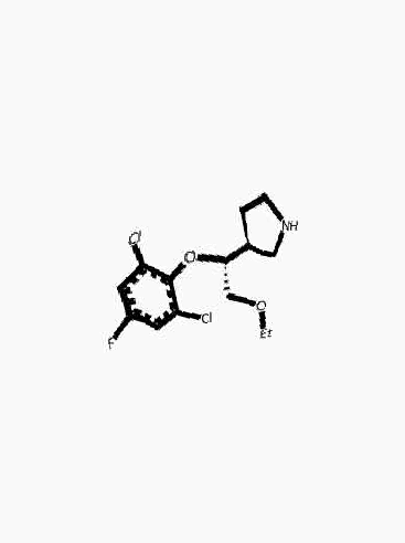 CCOC[C@H](Oc1c(Cl)cc(F)cc1Cl)[C@H]1CCNC1